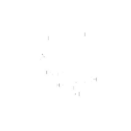 CCC(C)(C1CC(C)C(C)C1C(C)N)[PH](C)(C)C